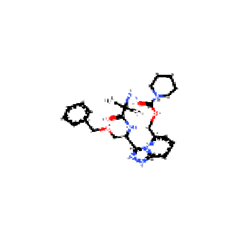 CC(C)(N)C(=O)N[C@H](COCc1ccccc1)c1nnc2cccc(COC(=O)N3CCCCC3)n12